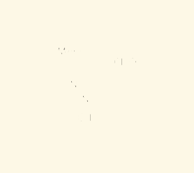 COc1nn(C)cc1C=O